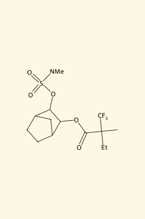 CCC(C)(C(=O)OC1C2CCC(C2)C1OS(=O)(=O)NC)C(F)(F)F